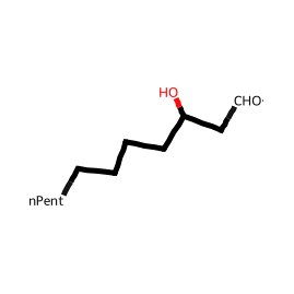 CCCCCCCCCC(O)C[C]=O